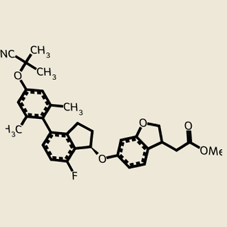 COC(=O)CC1COc2cc(O[C@@H]3CCc4c(-c5c(C)cc(OC(C)(C)C#N)cc5C)ccc(F)c43)ccc21